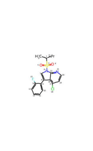 CC(C)[C@H](C)S(=O)(=O)n1cc(-c2ccccc2F)c2c(Cl)ccnc21